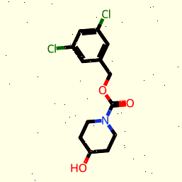 O=C(OCc1cc(Cl)cc(Cl)c1)N1CCC(O)CC1